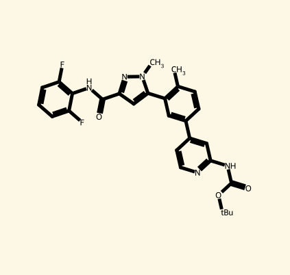 Cc1ccc(-c2ccnc(NC(=O)OC(C)(C)C)c2)cc1-c1cc(C(=O)Nc2c(F)cccc2F)nn1C